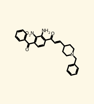 Nc1c(C(=O)C=CC2CCN(Cc3ccccc3)CC2)ccc(C(=O)c2ccccc2)c1[N+](=O)[O-]